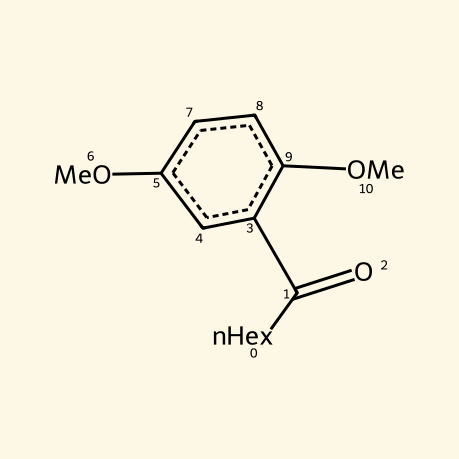 CCCCCCC(=O)c1cc(OC)ccc1OC